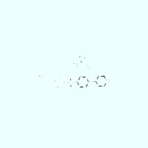 CO[C@H]1CC[C@H](S(=O)(=O)c2ccc(-c3ccnc(C)c3)cc2C(F)(F)F)C1.N#CC1(NC(=O)O)CC1